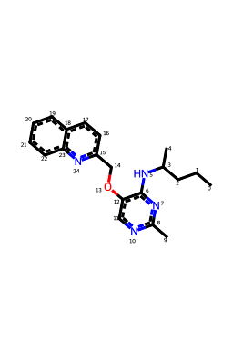 CCCC(C)Nc1nc(C)ncc1OCc1ccc2ccccc2n1